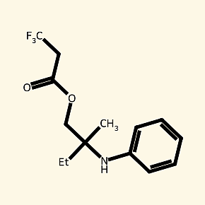 CCC(C)(COC(=O)CC(F)(F)F)Nc1ccccc1